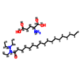 CCCCCCCCCCCCCCCCCC(=O)N(CC)N(CC)CC.NC(CCC(=O)O)C(=O)O